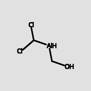 O[CH2][AlH][CH](Cl)Cl